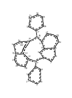 c1cncc(-n2c3ccc4cccc(c4c3)n(-c3cccnc3)c3ccc4cccc2c4c3)c1